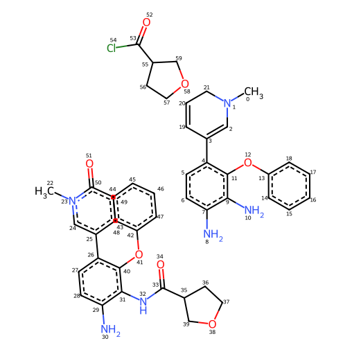 CN1C=C(c2ccc(N)c(N)c2Oc2ccccc2)C=CC1.Cn1cc(-c2ccc(N)c(NC(=O)C3CCOC3)c2Oc2ccccc2)ccc1=O.O=C(Cl)C1CCOC1